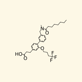 CCCCCCCC(=O)N(C)Cc1cccc(-c2ccc(CCC(=O)O)cc2OCCCC(F)(F)F)c1